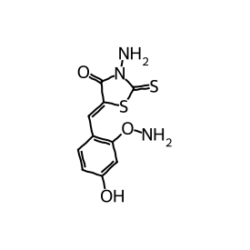 NOc1cc(O)ccc1/C=C1\SC(=S)N(N)C1=O